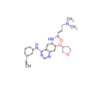 C#Cc1cccc(Nc2ncnc3cc(O[C@H]4CCOC4)c(NC(=O)C=CCN(C)C)cc23)c1